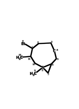 CCC1CCCCC2CS2(C)CC1C